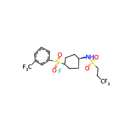 O=S(=O)(CCC(F)(F)F)N[C@H]1CC[C@@](F)(S(=O)(=O)c2cccc(C(F)(F)F)c2)CC1